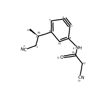 C[C@H](CC#N)c1cc#cc(NC(=O)CC#N)c1